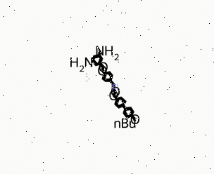 CCCCOc1ccc(-c2ccc(OO/C=C/c3ccc(OOc4cc(N)cc(N)c4)cc3)cc2)cc1